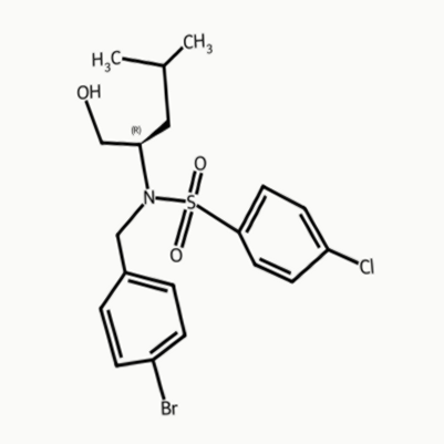 CC(C)C[C@H](CO)N(Cc1ccc(Br)cc1)S(=O)(=O)c1ccc(Cl)cc1